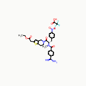 CCOC(=O)Cc1cc2c(s1)CCN(C(=O)[C@H](Cc1ccc([N+](=O)[O-])cc1)N(C)C(=O)c1ccc(C(=N)N)cc1)C2.O=C(O)C(F)(F)F